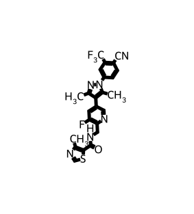 Cc1ncsc1C(=O)NCc1ncc(-c2c(C)nn(-c3ccc(C#N)c(C(F)(F)F)c3)c2C)cc1F